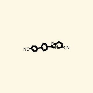 N#Cc1ccc(-c2ccc(-c3cn4cc(C#N)ccc4n3)cc2)cc1